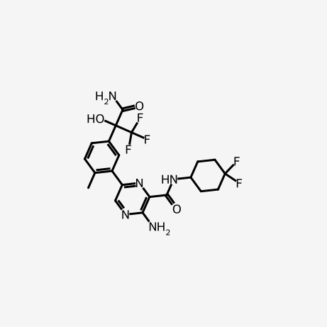 Cc1ccc(C(O)(C(N)=O)C(F)(F)F)cc1-c1cnc(N)c(C(=O)NC2CCC(F)(F)CC2)n1